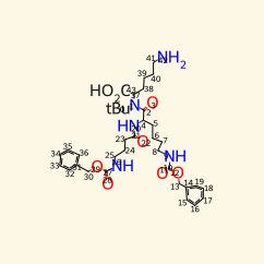 CC(C)(C)N(C(=O)C(CCCCNC(=O)OCc1ccccc1)NC(=O)CCCNC(=O)OCc1ccccc1)C(CCCCN)C(=O)O